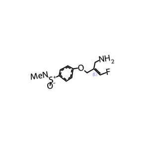 CN[S+]([O-])c1ccc(OC/C(=C/F)CN)cc1